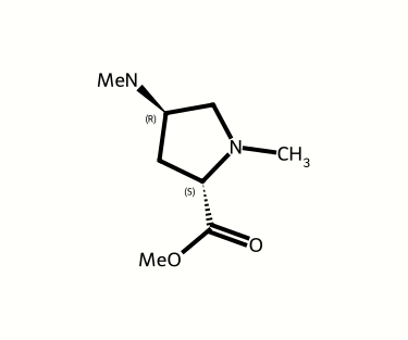 CN[C@@H]1C[C@@H](C(=O)OC)N(C)C1